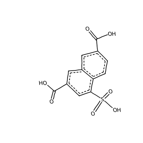 O=C(O)c1ccc2c(S(=O)(=O)O)cc(C(=O)O)cc2c1